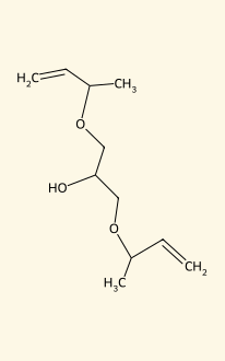 C=CC(C)OCC(O)COC(C)C=C